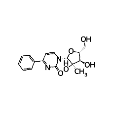 C[C@@]1(O)[C@H](O)[C@@H](CO)O[C@H]1n1ccc(-c2ccccc2)nc1=O